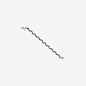 C=CCCCCCCCCCCCCCCCCCCCBr